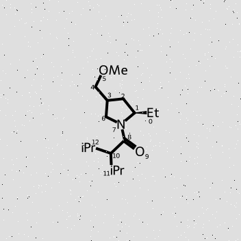 CC[C@@H]1CC(COC)CN1C(=O)C(C(C)C)C(C)C